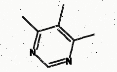 Cc1ncnc(C)c1C